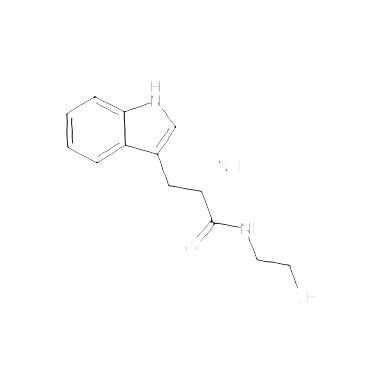 N[C@@H](Cc1c[nH]c2ccccc12)C(=O)NCCS